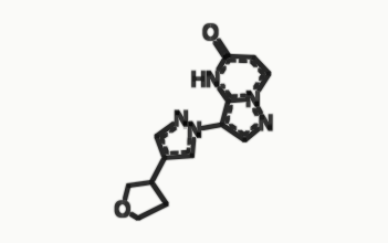 O=c1ccn2ncc(-n3cc(C4CCOC4)cn3)c2[nH]1